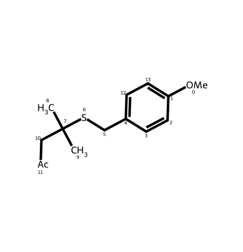 COc1ccc(CSC(C)(C)CC(C)=O)cc1